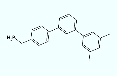 Cc1cc(C)cc(-c2cccc(-c3ccc(CP)cc3)c2)c1